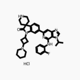 CC(C)n1cnc2cc(-c3ccc4c(c3)N(C3CC(N5CCCCC5)C3)C(=O)C43CCNCC3)nc(Nc3ccccc3F)c21.Cl